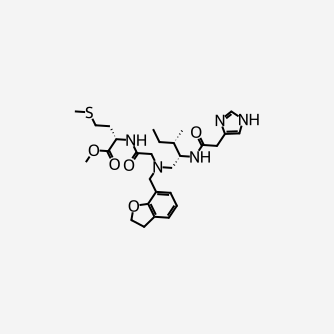 CC[C@H](C)[C@@H](CN(CC(=O)N[C@@H](CCSC)C(=O)OC)Cc1cccc2c1OCC2)NC(=O)Cc1c[nH]cn1